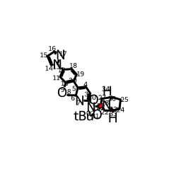 CN(c1ccc2c(n1)COc1cc(-n3cccn3)ccc1-2)C1C[C@H]2CC[C@@H](C1)N2C(=O)OC(C)(C)C